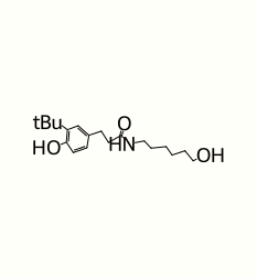 CC(C)(C)c1cc(CCC(=O)NCCCCCCO)ccc1O